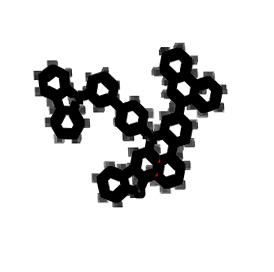 C1=C(c2cccc(-n3c4ccccc4c4ccccc43)c2)CCC(N(c2ccc3oc4ccccc4c3c2)c2cc(-c3cc4ccccc4c4ccccc34)ccc2-c2ccccc2)=C1